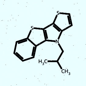 CC(C)Cn1c2ccsc2c2sc3ccccc3c21